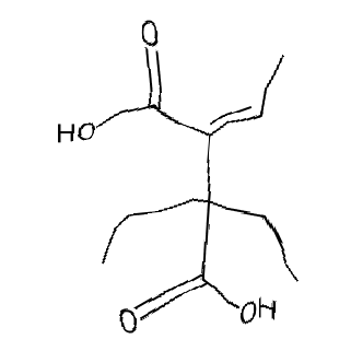 CC=C(C(=O)O)C(CC)(CC)C(=O)O